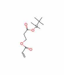 C=CC(=O)OCCC(=O)O[Si](C)(C)C(C)(C)C